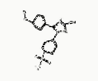 CCOc1ccc(-c2nc(O)nn2-c2ccc(S(N)(=O)=O)cc2)cc1